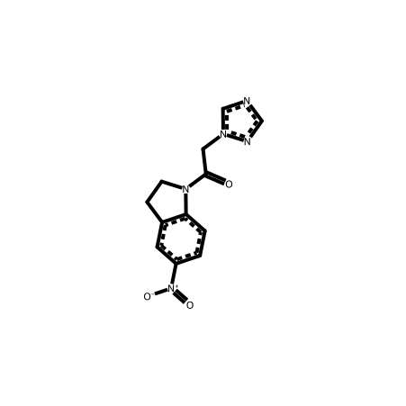 O=C(Cn1cncn1)N1CCc2cc([N+](=O)[O-])ccc21